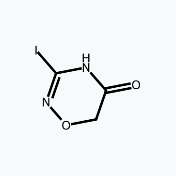 O=C1CON=C(I)N1